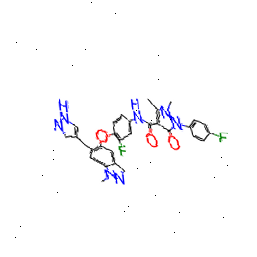 Cc1c(C(=O)Nc2ccc(Oc3cc4cnn(C)c4cc3-c3cn[nH]c3)c(F)c2)c(=O)n(-c2ccc(F)cc2)n1C